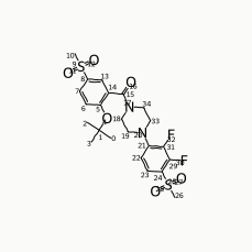 CC(C)(C)Oc1ccc(S(C)(=O)=O)cc1C(=O)N1CCN(c2ccc(S(C)(=O)=O)c(F)c2F)CC1